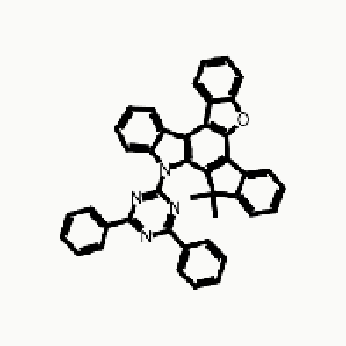 CC1(C)c2ccccc2-c2c1c1c(c3ccccc3n1-c1nc(-c3ccccc3)nc(-c3ccccc3)n1)c1c2oc2ccccc21